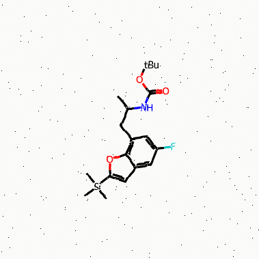 CC(Cc1cc(F)cc2cc([Si](C)(C)C)oc12)NC(=O)OC(C)(C)C